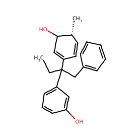 CCC(Cc1ccccc1)(C1=CC(O)[C@H](C)C=C1)c1cccc(O)c1